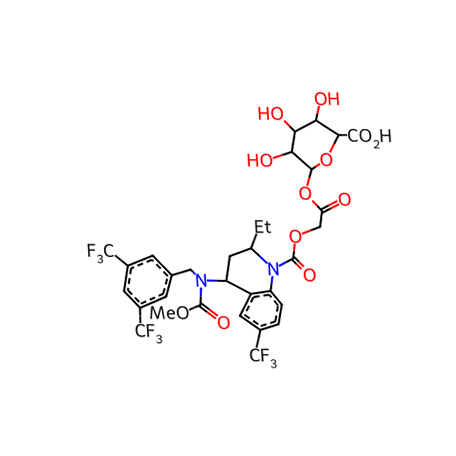 CCC1CC(N(Cc2cc(C(F)(F)F)cc(C(F)(F)F)c2)C(=O)OC)c2cc(C(F)(F)F)ccc2N1C(=O)OCC(=O)OC1OC(C(=O)O)C(O)C(O)C1O